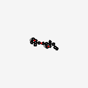 c1cc(-c2ccc3ccccc3c2)cc(-c2c3ccccc3c(-c3ccc(-c4ccc(-c5ccc(-c6c7ccccc7c(-c7cccc8oc9ccccc9c78)c7ccccc67)cc5)cc4)c4oc5ccccc5c34)c3ccccc23)c1